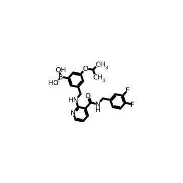 CC(C)Oc1cc(CNc2ncccc2C(=O)NCc2ccc(F)c(F)c2)cc(B(O)O)c1